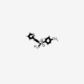 Cc1ccc(S(=O)(=O)N(C)C#Cc2cccs2)cc1